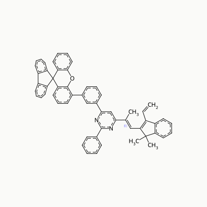 C=CC1=C(/C=C(\C)c2cc(-c3cccc(-c4cccc5c4Oc4ccccc4C54c5ccccc5-c5ccccc54)c3)nc(-c3ccccc3)n2)C(C)(C)c2ccccc21